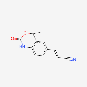 CC1(C)OC(=O)Nc2ccc(/C=C/C#N)cc21